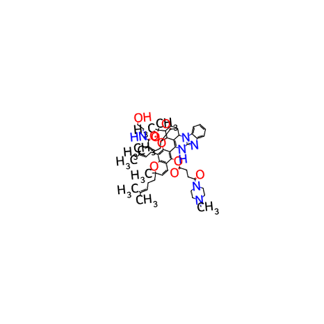 CC(C)=CCCC1(C)C=Cc2c(c(CC=C(C)C)c3c(c2OC(=O)CCC(=O)N2CCN(C)CC2)C2=C4C(C5CC6C(C)(C)OC(C/C=C(/C)C(=O)NCCO)(C5=O)C46O3)n3c(nc4ccccc43)N2)O1